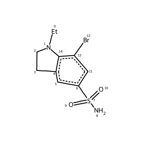 CCN1CCc2cc(S(N)(=O)=O)cc(Br)c21